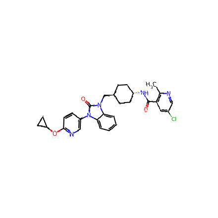 Cc1ncc(Cl)cc1C(=O)N[C@H]1CC[C@H](Cn2c(=O)n(-c3ccc(OC4CC4)nc3)c3ccccc32)CC1